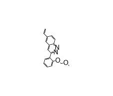 C=Cc1ccc2nnc(-c3ccccc3OCOC)cc2c1